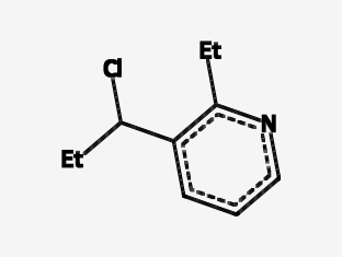 CCc1ncccc1C(Cl)CC